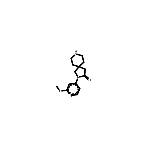 COc1cc(N2CC3(CCNCC3)CC2=O)ccn1